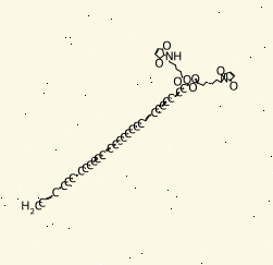 C=C=C=C=C=C=C=C=C=C=C=C=C=C=C=C=C=C=C=C=C=C=C=C=C=C=C=C=C=C=C=C=C=C=C=C(OC(=O)CCCCCN1C(=O)C=CC1=O)OC(=O)CCCCNC1C(=O)C=CC1=O